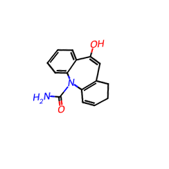 NC(=O)N1C2=C(C=C(O)c3ccccc31)CCC=C2